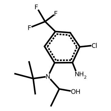 CC(O)N(c1cc(C(F)(F)F)cc(Cl)c1N)C(C)(C)C